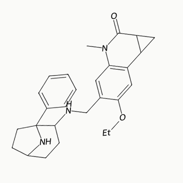 CCOc1cc2c(cc1CNC1CCC3CCC1(c1ccccc1)N3)N(C)C(=O)C1CC21